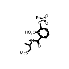 CCS(=O)(=O)Oc1cccc(C(=O)NC(C)CSC)c1C(=O)O